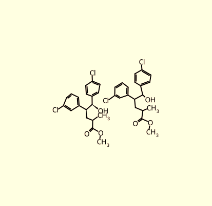 COC(=O)C(C)CC(c1cccc(Cl)c1)C(O)c1ccc(Cl)cc1.COC(=O)C(C)C[C@@H](c1cccc(Cl)c1)[C@H](O)c1ccc(Cl)cc1